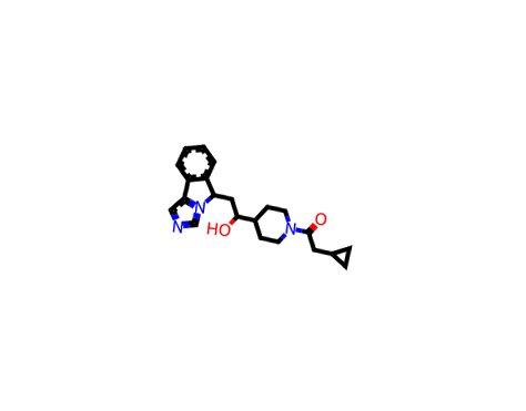 O=C(CC1CC1)N1CCC(C(O)CC2c3ccccc3-c3cncn32)CC1